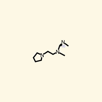 C/N=C\N(C)CCN1CCCC1